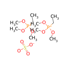 CC[P+](OC)(OC)OC.CC[P+](OC)(OC)OC.O=S(=O)([O-])[O-]